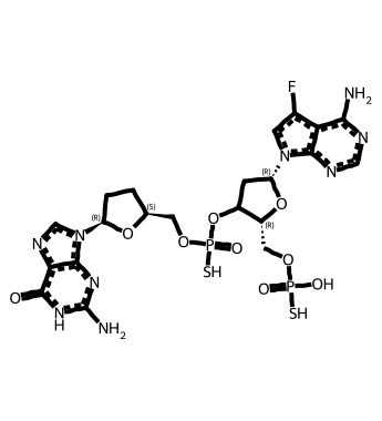 Nc1nc2c(ncn2[C@H]2CC[C@@H](COP(=O)(S)OC3C[C@H](n4cc(F)c5c(N)ncnc54)O[C@@H]3COP(=O)(O)S)O2)c(=O)[nH]1